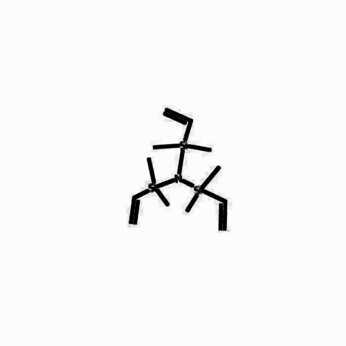 C=C[Si](C)(C)N([Si](C)(C)C=C)[Si](C)(C)C=C